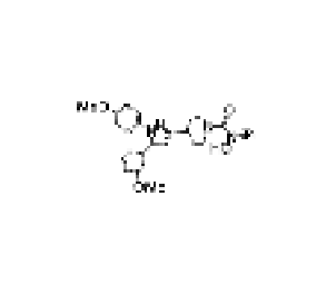 COc1ccc(-n2nc(C3CCN(C(=O)N(O)C(C)C)CC3)cc2-c2cccc(OC)c2)cc1